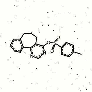 Cc1ccc(S(=O)(=O)Oc2ncnc3c2CCCc2ccccc2-3)cc1